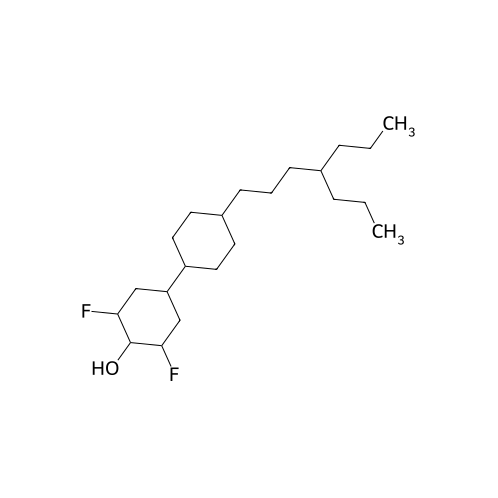 CCCC(CCC)CCCC1CCC(C2CC(F)C(O)C(F)C2)CC1